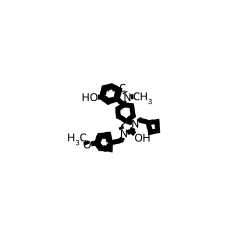 COc1ccc(CN2C[C@]3(CC[C@](c4cccc(O)c4)(N(C)C)CC3)N(CC3CCC3)C2O)cc1